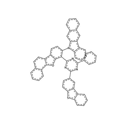 c1ccc(-c2nc(-c3ccc4sc5ccccc5c4c3)nc(-c3c(-n4c5ccccc5c5cc6ccccc6cc54)ccc4c3oc3c5ccccc5ccc43)n2)cc1